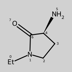 CCN1CC[C@H](N)C1=O